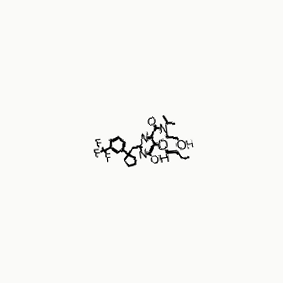 CCCCOc1c(O)nc(CC2(c3cccc(C(F)(F)F)c3)CCCC2)nc1C(=O)N(CCO)C(C)C